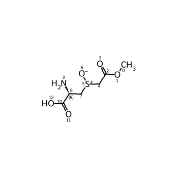 COC(=O)C[S+]([O-])C[C@H](N)C(=O)O